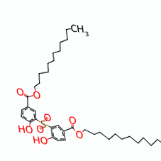 CCCCCCCCCCCCOC(=O)c1ccc(O)c(S(=O)(=O)c2cc(C(=O)OCCCCCCCCCCCC)ccc2O)c1